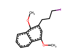 COc1cc(CCCI)c(OC)c2ccccc12